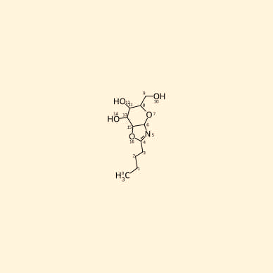 CCCCC1=NC2OC(CO)C(O)C(O)C2O1